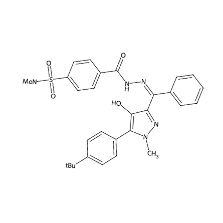 CNS(=O)(=O)c1ccc(C(=O)NN=C(c2ccccc2)c2nn(C)c(-c3ccc(C(C)(C)C)cc3)c2O)cc1